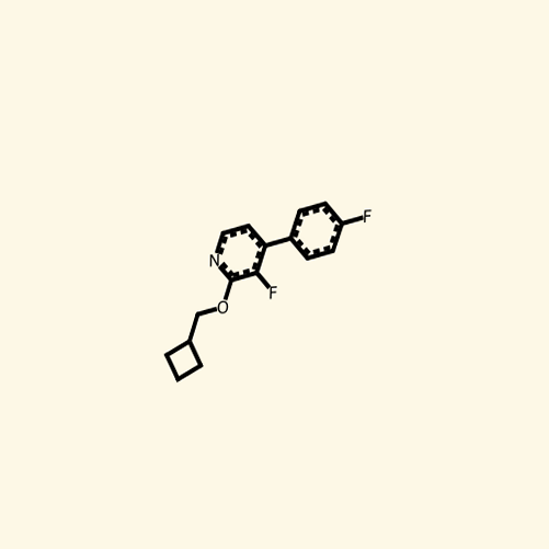 Fc1ccc(-c2ccnc(OCC3CCC3)c2F)cc1